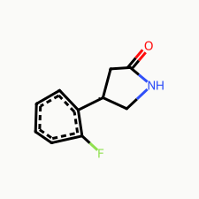 O=C1C[C](c2ccccc2F)CN1